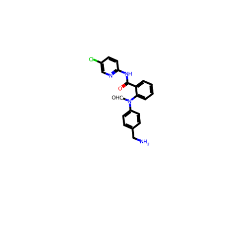 NCc1ccc(N(C=O)c2ccccc2C(=O)Nc2ccc(Cl)cn2)cc1